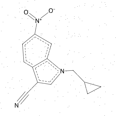 N#Cc1cn(CC2CC2)c2cc([N+](=O)[O-])ccc12